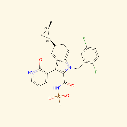 C[C@@H]1C[C@@H]1C1C=c2c(-c3ccc[nH]c3=O)c(C(=O)NS(C)(=O)=O)n(Cc3cc(F)ccc3F)c2=CC1